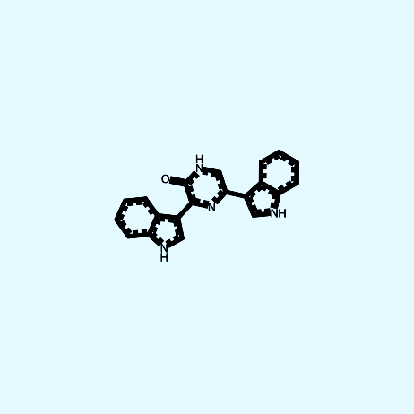 O=c1[nH]cc(-c2c[nH]c3ccccc23)nc1-c1c[nH]c2ccccc12